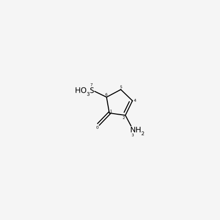 C=C1C(N)=CCC1S(=O)(=O)O